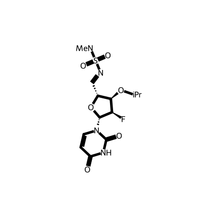 CNS(=O)(=O)/N=C/[C@H]1O[C@@H](n2ccc(=O)[nH]c2=O)[C@H](F)[C@@H]1OC(C)C